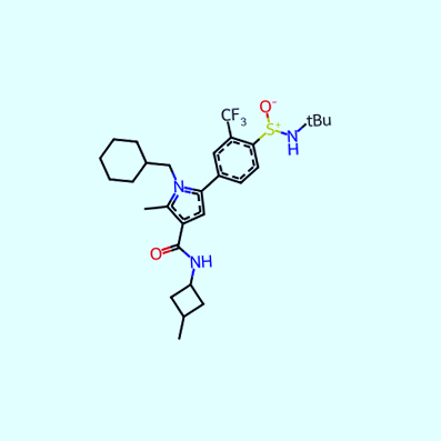 Cc1c(C(=O)NC2CC(C)C2)cc(-c2ccc([S+]([O-])NC(C)(C)C)c(C(F)(F)F)c2)n1CC1CCCCC1